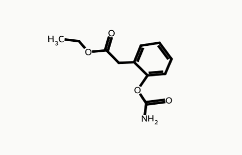 CCOC(=O)Cc1ccccc1OC(N)=O